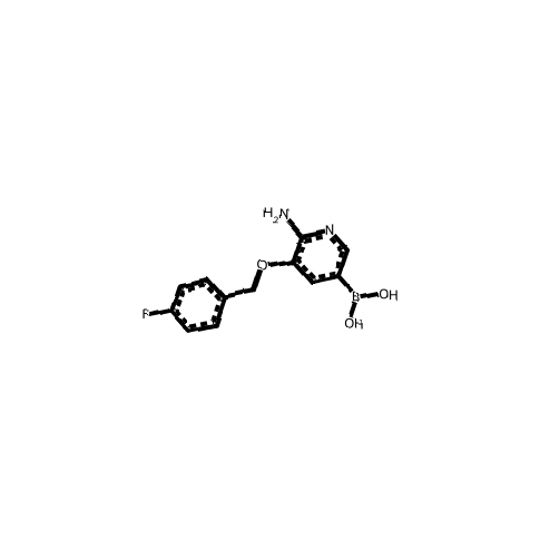 Nc1ncc(B(O)O)cc1OCc1ccc(F)cc1